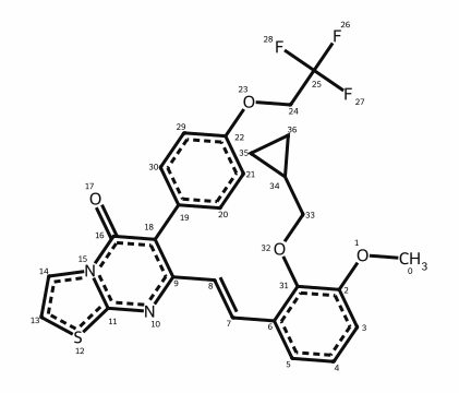 COc1cccc(C=Cc2nc3sccn3c(=O)c2-c2ccc(OCC(F)(F)F)cc2)c1OCC1CC1